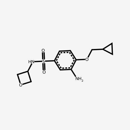 Nc1cc(S(=O)(=O)NC2COC2)ccc1OCC1CC1